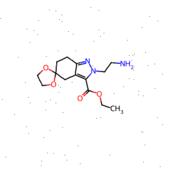 CCOC(=O)c1c2c(nn1CCN)CCC1(C2)OCCO1